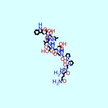 CC(C)C[C@H](NC(=O)[C@@H](NC(=O)[C@@H](NC(=O)[C@H](CC(=O)O)NC(=O)CNC(=O)[C@@H]1CCCN1C(=O)[C@@H]1CCCN1C(=O)CNC(=O)[C@@H](N)CCC(N)=O)[C@@H](C)O)C(C)C)C(=O)N[C@@H](Cc1c[nH]c2ccccc12)C(=O)O